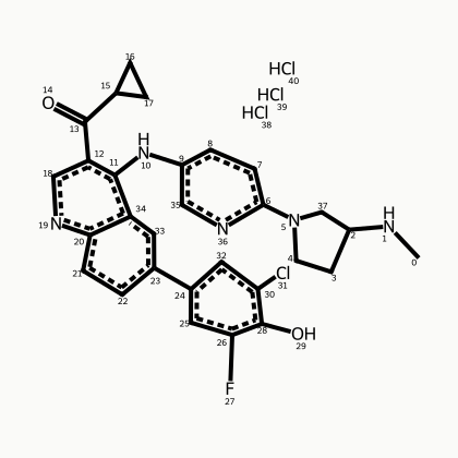 CNC1CCN(c2ccc(Nc3c(C(=O)C4CC4)cnc4ccc(-c5cc(F)c(O)c(Cl)c5)cc34)cn2)C1.Cl.Cl.Cl